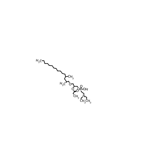 CCCCCCCCCCCCC(C)CC(C)COCC(COP(=O)(O)CCN(CC)CC)OC(=O)CC